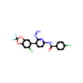 N=Nc1nc(NC(=O)c2ccc(Cl)cc2)ccc1-c1cc2c(cc1Cl)OC(F)(F)O2